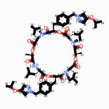 CC(C)C[C@@H]1NC(=O)[C@@H](C)OC(=O)[C@H](CC(C)C)N(C)C(=O)[C@@H](Cc2ccc(Cn3cc(OC(C)C)cn3)cc2)OC(=O)[C@H](CC(C)C)N(C)C(=O)[C@@H](C)OC(=O)[C@H](CC(C)C)N(C)C(=O)[C@@H](Cc2ccc(Cn3cc(OC(C)C)cn3)cc2)OC1=O